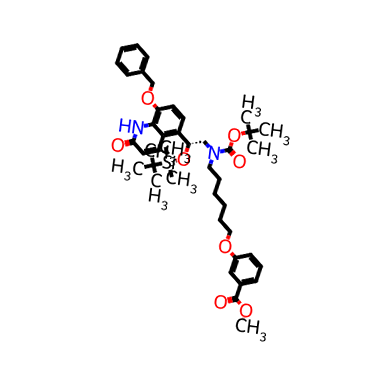 COC(=O)c1cccc(OCCCCCCN(C[C@H](O[Si](C)(C)C(C)(C)C)c2ccc(OCc3ccccc3)c3[nH]c(=O)ccc23)C(=O)OC(C)(C)C)c1